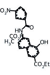 CC(=O)O.CCOC(=O)c1cc(O)c2cc(NC(=O)c3cccc([N+](=O)[O-])c3)ccc2c1